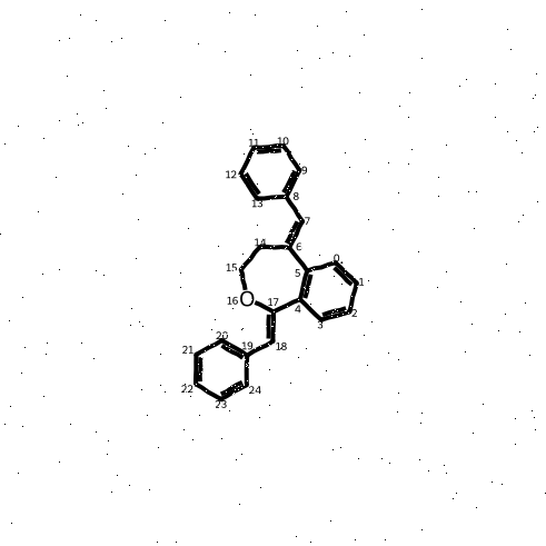 [c]1cccc2c1C(=Cc1ccccc1)CCOC2=Cc1ccccc1